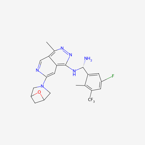 Cc1c([C@@H](N)Nc2nnc(C)c3cnc(N4CC5CC(C4)O5)cc23)cc(F)cc1C(F)(F)F